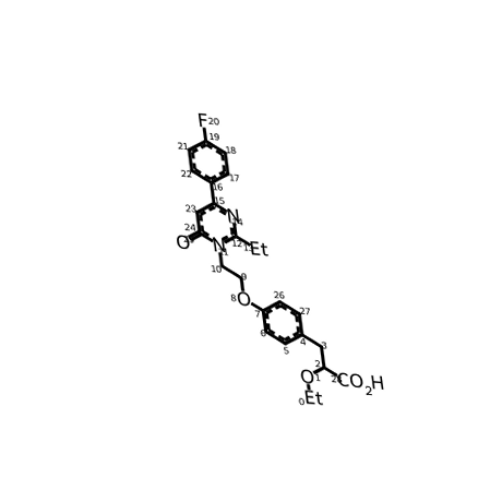 CCOC(Cc1ccc(OCCn2c(CC)nc(-c3ccc(F)cc3)cc2=O)cc1)C(=O)O